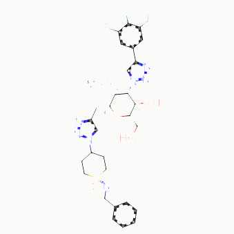 CO[C@@H]1[C@@H](n2cc(-c3cc(F)c(F)c(F)c3)nn2)[C@@H](O)[C@@H](CO)O[C@@H]1Cc1cn(C2CCS(=O)(=NCc3ccccc3)CC2)nn1